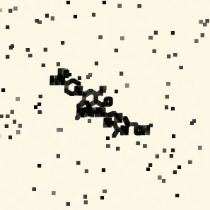 CCNC1CCN(c2cc(F)c(C(=O)Nc3cn4cc(CO)nc(C)c4n3)c3nn(C)cc23)CC1